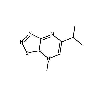 CC(C)C1=CN(C)C2SN=NC2=N1